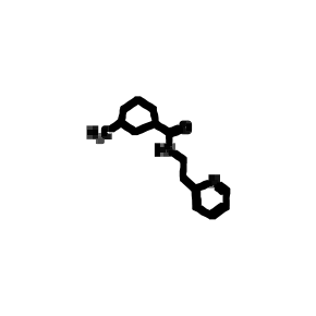 CC1CCCC(C(=O)NCCc2ccccn2)C1